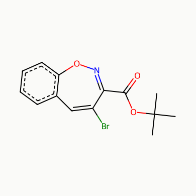 CC(C)(C)OC(=O)C1=NOc2ccccc2C=C1Br